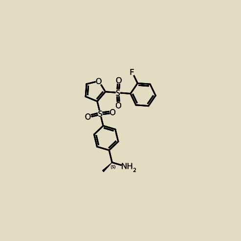 C[C@H](N)c1ccc(S(=O)(=O)c2ccoc2S(=O)(=O)c2ccccc2F)cc1